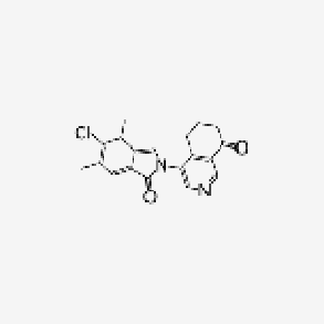 CC1=C(Cl)C(C)C2=CN(c3cncc4c3CCCC4=O)C(=O)C2=C1